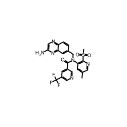 Cc1cnc(S(C)(=O)=O)c(N(Cc2ccc3ncc(N)nc3c2)C(=O)c2cncc(C(F)(F)F)c2)c1